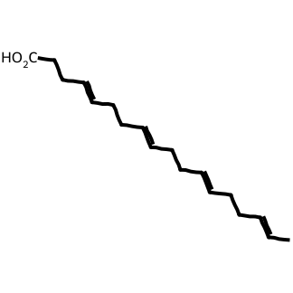 CC=CCCC=CCCC=CCCC=CCCC(=O)O